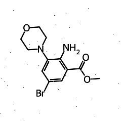 COC(=O)c1cc(Br)cc(N2CCOCC2)c1N